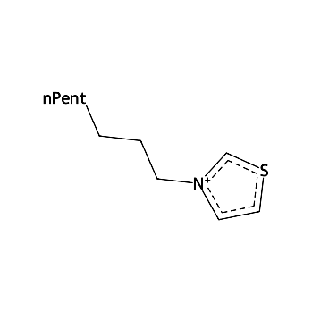 CCCCCCCC[n+]1ccsc1